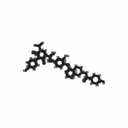 CC(C)n1cc(C(=O)Nc2ccc(Oc3ncnc4c3CCN(CC(=O)N3CCN(C)CC3)C4)c(F)c2)c(=O)n(-c2ccc(F)cc2)c1=O